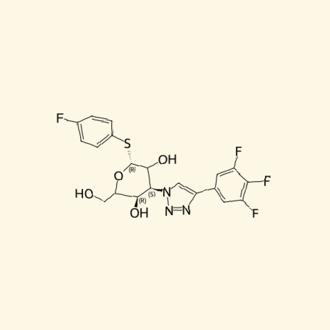 OCC1O[C@H](Sc2ccc(F)cc2)C(O)[C@@H](n2cc(-c3cc(F)c(F)c(F)c3)nn2)[C@H]1O